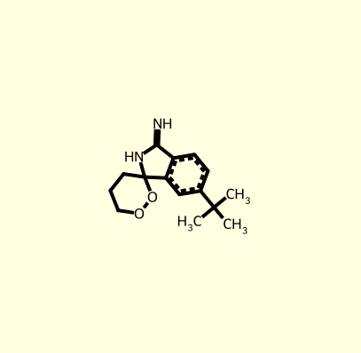 CC(C)(C)c1ccc2c(c1)C1(CCCOO1)NC2=N